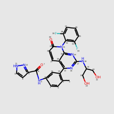 Cc1ccc(NC(=O)c2cc[nH]n2)cc1-c1nc(NC(CO)CO)nc2c1ccc(=O)n2-c1c(F)cccc1F